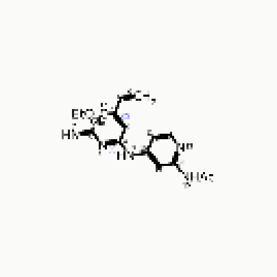 C=C/C(=C/C(=N\C(=N)Cl)Nc1ccnc(NC(C)=O)c1)C(=O)OCC